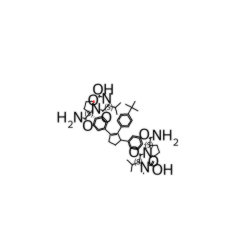 CC(C)[C@@H](C(=O)N1CCC[C@@]1(C(N)=O)c1ccc(C2=C(c3ccc(C(C)(C)C)cc3)C(c3ccc([C@]4(C(N)=O)CCCN4C(=O)[C@H](C(C)C)N(C)C(=O)O)cc3)CC2)cc1)N(C)C(=O)O